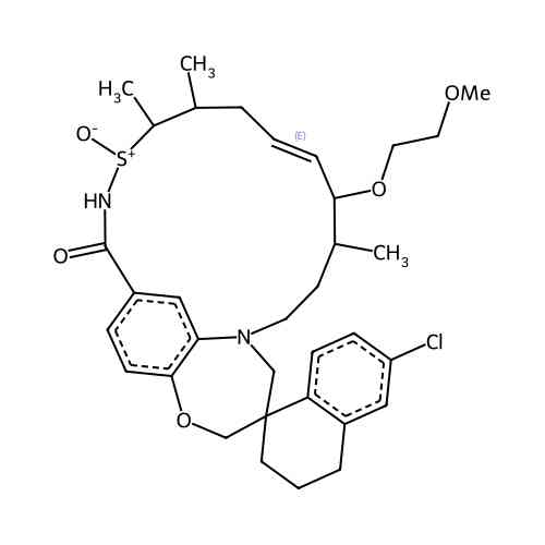 COCCOC1/C=C/CC(C)C(C)[S+]([O-])NC(=O)c2ccc3c(c2)N(CCC1C)CC1(CCCc2cc(Cl)ccc21)CO3